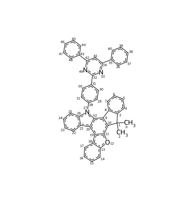 CC1(C)c2ccccc2-c2c1c1oc3ccccc3c1c1c3ccccc3n(-c3ccc(-c4nc(-c5ccccc5)cc(-c5ccccc5)n4)cc3)c21